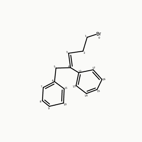 BrCCC=C(Cc1ccccc1)c1ccccc1